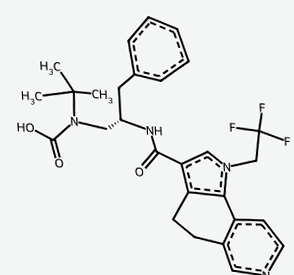 CC(C)(C)N(C[C@H](Cc1ccccc1)NC(=O)c1cn(CC(F)(F)F)c2c1CCc1cnccc1-2)C(=O)O